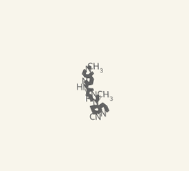 C[C@@H]1CN(c2ccc(C#N)c3ncccc23)C[C@@H]2C[C@@H](Nc3ccc4c(n3)CCN(C)C4)CN21